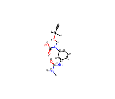 C#CC(C)(C)OCN(C(=O)O)c1cccc(NC(=O)N(C)C)c1